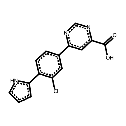 O=C(O)c1cc(-c2ccc(-c3ccc[nH]3)c(Cl)c2)ncn1